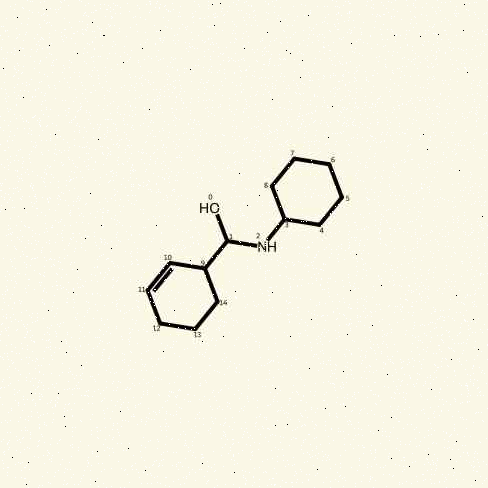 OC(NC1CCCCC1)C1C=CCCC1